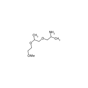 COCCOC(C)COCC(C)N